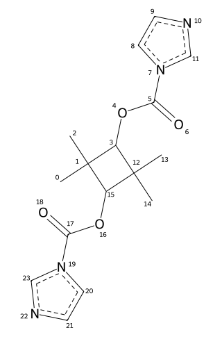 CC1(C)C(OC(=O)n2ccnc2)C(C)(C)C1OC(=O)n1ccnc1